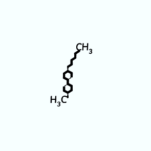 CCCCCCC[C@H]1CC[C@H]([C@H]2CC[C@H](CC)CC2)CC1